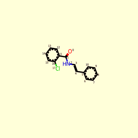 O=C(NC=Cc1ccccc1)c1ccccc1Cl